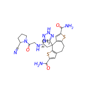 C[C@H](CC1(c2nn[nH]n2)c2cc(C(N)=O)sc2CCc2cc(C(N)=O)sc21)NCC(=O)N1CCCC1C#N